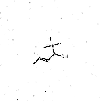 CC=CC(O)[Si](C)(C)C